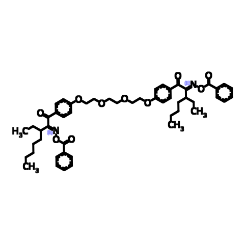 CCCCCC(CC)/C(=N\OC(=O)c1ccccc1)C(=O)c1ccc(OCCOCCOCCOc2ccc(C(=O)/C(=N/OC(=O)c3ccccc3)C(CC)CCCC)cc2)cc1